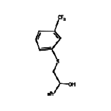 CCCC(O)CSc1cccc(C(F)(F)F)c1